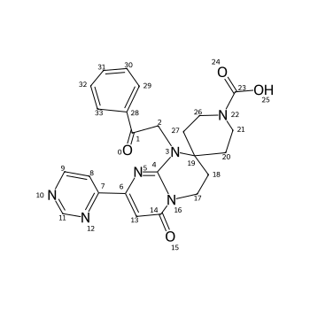 O=C(CN1c2nc(-c3ccncn3)cc(=O)n2CCC12CCN(C(=O)O)CC2)c1ccccc1